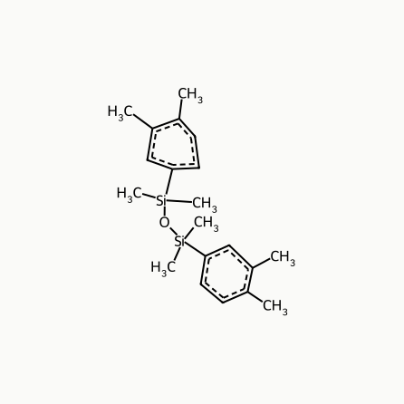 Cc1ccc([Si](C)(C)O[Si](C)(C)c2ccc(C)c(C)c2)cc1C